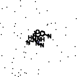 CN(C)CCN/C(=N/C#N)NC1c2cc(C#N)ccc2OC(C)(C)C1O